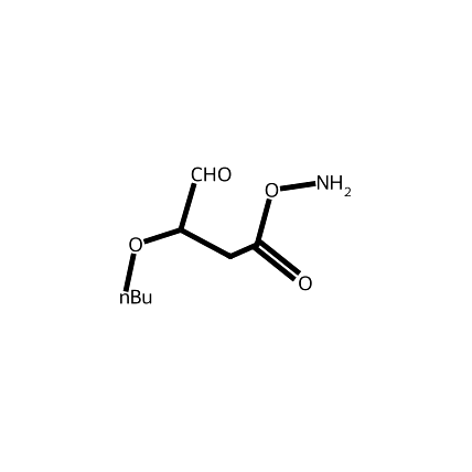 CCCCOC(C=O)CC(=O)ON